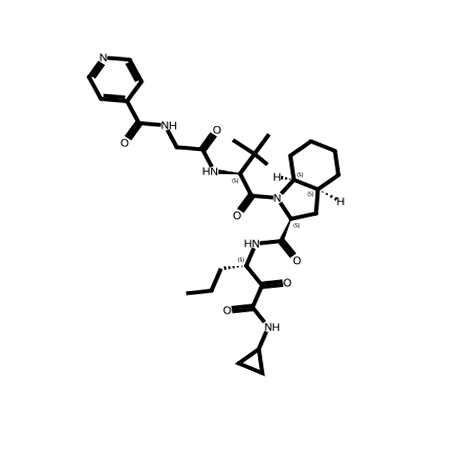 CCC[C@H](NC(=O)[C@@H]1C[C@@H]2CCCC[C@@H]2N1C(=O)[C@@H](NC(=O)CNC(=O)c1ccncc1)C(C)(C)C)C(=O)C(=O)NC1CC1